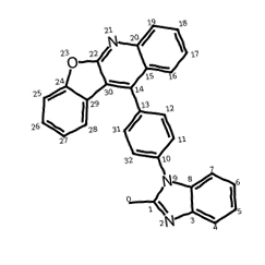 Cc1nc2ccccc2n1-c1ccc(-c2c3ccccc3nc3oc4ccccc4c23)cc1